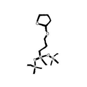 C[Si](C)(C)O[Si](C)(CCCOC1CCCO1)O[Si](C)(C)C